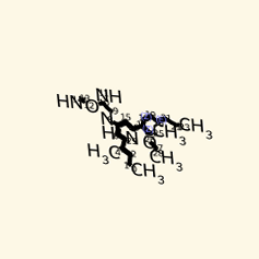 CCC=C(C)c1cc(NCC(=N)OC=N)cc(C(/C=C\C=C\CC)=C(/C)OCC)n1